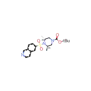 C[C@@H]1CN(C(=O)OC(C)(C)C)C[C@@H](C)N1S(=O)(=O)c1ccc2cnccc2c1